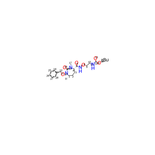 C[C@H]1CC[C@@H](C(=O)NOCCNC(=O)OC(C)(C)C)N(C)C(=O)N1OCc1ccccc1